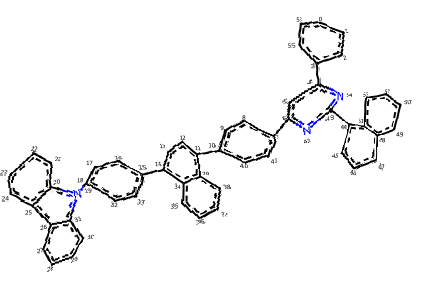 c1ccc(-c2cc(-c3ccc(-c4ccc(-c5ccc(-n6c7ccccc7c7ccccc76)cc5)c5ccccc45)cc3)nc(-c3cccc4ccccc34)n2)cc1